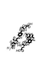 CN(Cc1cnc2nc(N)nc(N)c2n1)c1ccc(C(=O)N[C@@H](CCC(=O)O)C(=O)O)cc1.Nc1nc(=O)c2c([nH]1)NCC(CNc1ccc(C(=O)N[C@@H](CCC(=O)O)C(=O)O)cc1)N2C=O